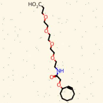 O=C(O)CCOCCOCCOCCOCCNC(=O)COC1C#CCCCCC1